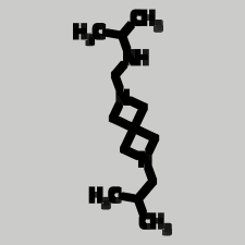 CC(C)CN1CC2(CN(CNC(C)C)C2)C1